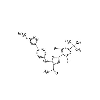 CC(C)(O)c1cc(F)c(-c2cc(C(N)=O)c(Nc3ccc(-c4cn(CC(=O)O)nn4)cn3)s2)c(F)c1